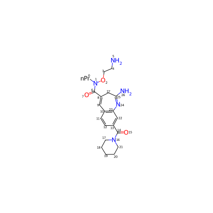 CCCN(OCCN)C(=O)C1=Cc2ccc(C(=O)N3CCCCC3)cc2N=C(N)C1